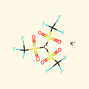 O=S(=O)([C-](S(=O)(=O)C(F)(F)F)S(=O)(=O)C(F)(F)F)C(F)(F)F.[K+]